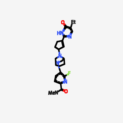 CCc1cnc(C2=CC(N3CC4CCC3CN4c3ccc(C(=O)NC)nc3F)CC2)[nH]c1=O